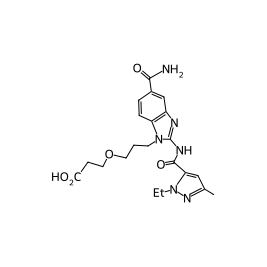 CCn1nc(C)cc1C(=O)Nc1nc2cc(C(N)=O)ccc2n1CCCOCCC(=O)O